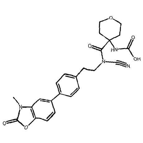 Cn1c(=O)oc2ccc(-c3ccc(CCN(C#N)C(=O)C4(NC(=O)O)CCOCC4)cc3)cc21